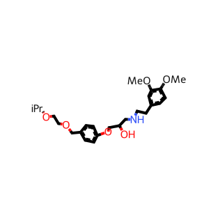 COc1ccc(CCNCC(O)COc2ccc(COCCOC(C)C)cc2)cc1OC